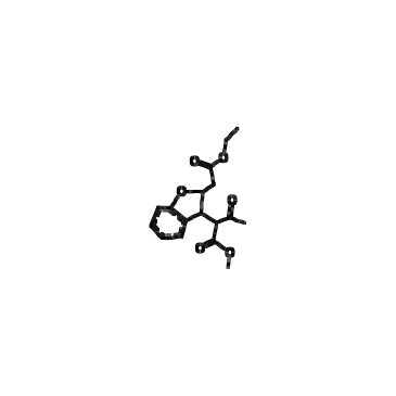 CCOC(=O)CC1Oc2ccccc2C1C(C(C)=O)C(=O)OC